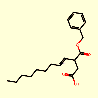 CCCCCCC/C=C/C(CC(=O)O)C(=O)OCc1ccccc1